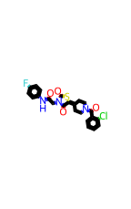 O=C(CN1C(=O)SC(=C2CCN(C(=O)c3ccccc3Cl)CC2)C1=O)Nc1ccc(F)cc1